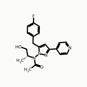 CC(=O)N([C@H](C)CO)n1nc(-c2ccncc2)cc1Cc1ccc(F)cc1